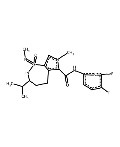 CN=S1(=O)NC(C(C)C)CCc2c1cn(C)c2C(=O)Nc1ccc(F)c(F)c1